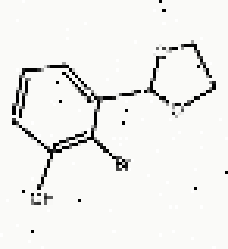 Oc1cccc(C2OCCO2)c1Br